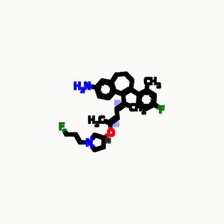 C/C(=C\C=C(/C)C1=C(c2ccc(F)cc2C)CCCc2cc(N)ccc21)O[C@H]1CCN(CCCF)C1